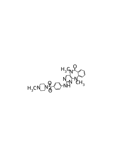 CN1CCN(S(=O)(=O)c2ccc(Nc3ncc4c(n3)N(C)c3ccccc3C(=O)N4C)cc2)CC1